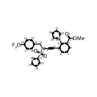 COC(=O)c1cccc(C#CN(Cc2ccc(C(F)(F)F)cc2)S(=O)(=O)c2cccs2)c1-n1cccc1